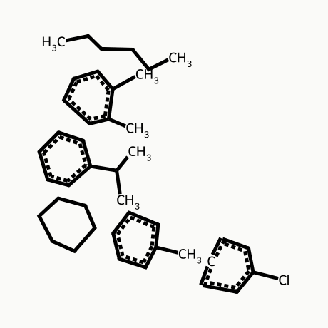 C1CCCCC1.CC(C)c1ccccc1.CCCCCC.Cc1ccccc1.Cc1ccccc1C.Clc1ccccc1